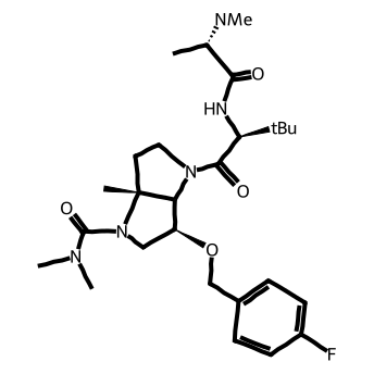 CN[C@@H](C)C(=O)N[C@H](C(=O)N1CC[C@]2(C)C1[C@@H](OCc1ccc(F)cc1)CN2C(=O)N(C)C)C(C)(C)C